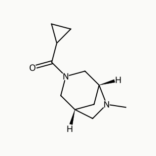 CN1C[C@H]2C[C@@H]1CN(C(=O)C1CC1)C2